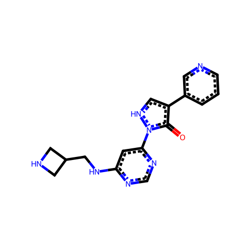 O=c1c(-c2cccnc2)c[nH]n1-c1cc(NCC2CNC2)ncn1